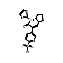 CCS(=O)(=O)c1ccc(C(=CC2CCCC2)C(=O)Nc2nccs2)cn1